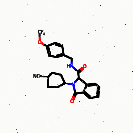 N#C[C@H]1CC[C@@H](N2C(=O)c3ccccc3C2C(=O)NCc2ccc(OC(F)(F)F)cc2)CC1